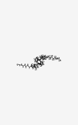 CCCCCCCCCCc1ccc(-c2c3ccsc3c(-c3ccc(CCCCCCCCCC)[se]3)c3ccsc23)[se]1